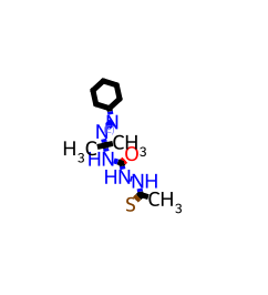 CC(=S)NNC(=O)NC(C)(C)/N=N/C1CCCCC1